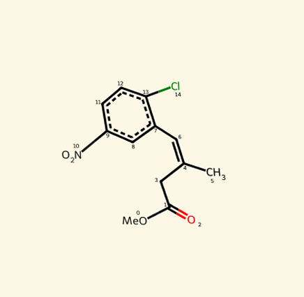 COC(=O)CC(C)=Cc1cc([N+](=O)[O-])ccc1Cl